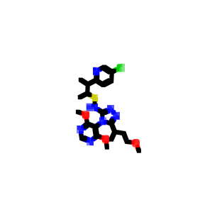 COCCC(C)c1nnc(NSC(C)C(C)c2ccc(Cl)cn2)n1-c1c(OC)ncnc1OC